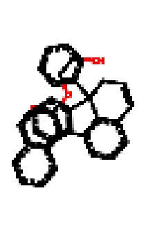 OCCOc1ccc2ccccc2c1-c1cccc2c1C(c1ccccc1)(c1ccccc1)CC=C2